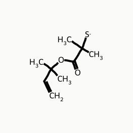 C=CC(C)(C)OC(=O)C(C)(C)[S]